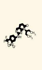 CCC(CC)n1c(=O)ccc2cnc(Nc3ccc(C(F)(F)F)c([N+](=O)[O-])c3)nc21